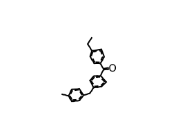 CCc1ccc(C(=O)c2ccc(Cc3ccc(C)cc3)cc2)cc1